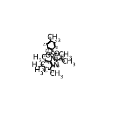 Cc1ccc(S(=O)(=O)n2c(C(C)C)nc(C(C)C)c2C(C)C)cc1